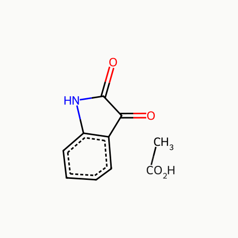 CC(=O)O.O=C1Nc2ccccc2C1=O